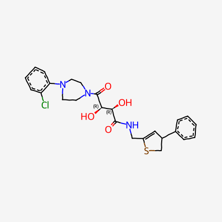 O=C(NCC1=CC(c2ccccc2)CS1)[C@H](O)[C@@H](O)C(=O)N1CCN(c2ccccc2Cl)CC1